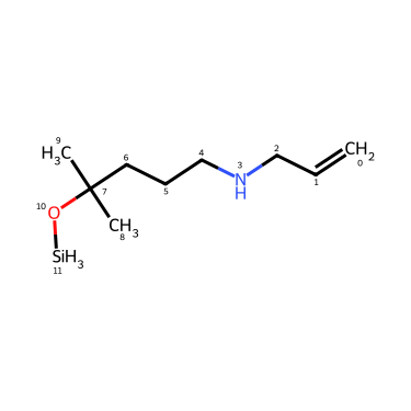 C=CCNCCCC(C)(C)O[SiH3]